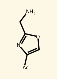 CC(=O)c1coc(CN)n1